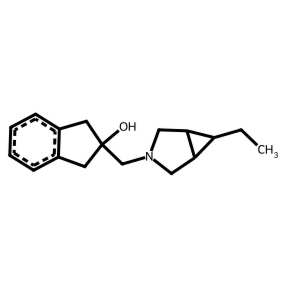 CCC1C2CN(CC3(O)Cc4ccccc4C3)CC12